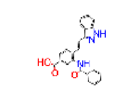 O=C(O)c1ccc(C=Cc2n[nH]c3ccccc23)c(NC(=O)c2ccccc2)c1